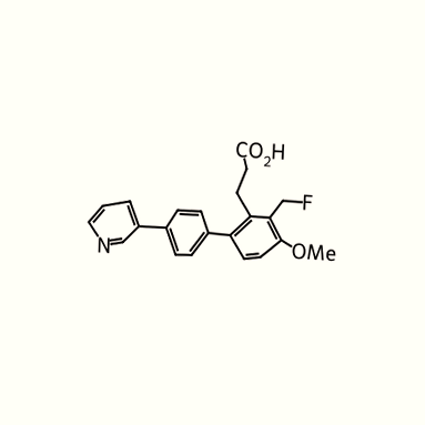 COc1ccc(-c2ccc(-c3cccnc3)cc2)c(CCC(=O)O)c1CF